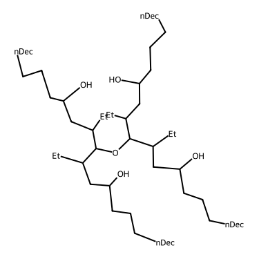 CCCCCCCCCCCCCC(O)CC(CC)C(OC(C(CC)CC(O)CCCCCCCCCCCCC)C(CC)CC(O)CCCCCCCCCCCCC)C(CC)CC(O)CCCCCCCCCCCCC